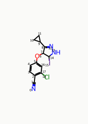 N#Cc1ccc(OC2C(C3CC3)=NNC2I)cc1Cl